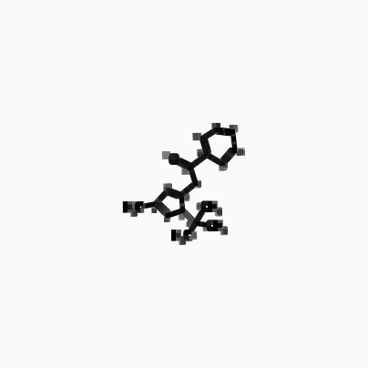 CC1=CC(C(C)(C)C)C(CC(=O)c2ccccc2)=C1